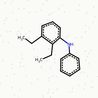 CCc1cccc(Nc2ccccc2)c1CC